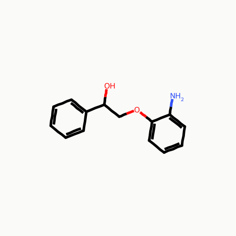 Nc1ccccc1OCC(O)c1ccccc1